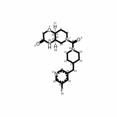 O=C1CO[C@H]2CCN(C(=O)N3CCC(Cc4cncc(F)c4)CC3)C[C@H]2N1